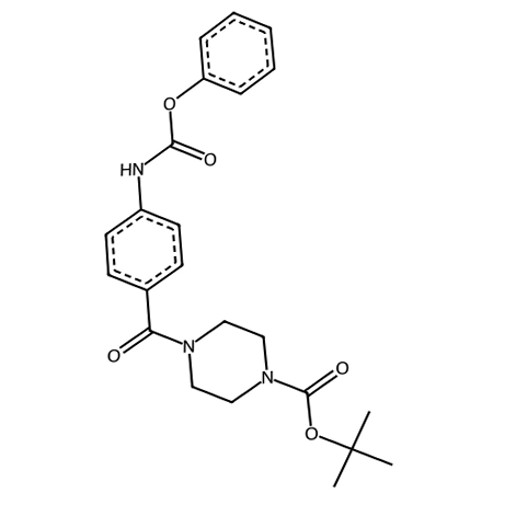 CC(C)(C)OC(=O)N1CCN(C(=O)c2ccc(NC(=O)Oc3ccccc3)cc2)CC1